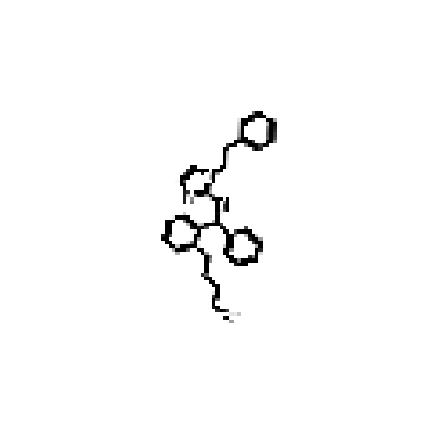 BrCCCCc1ccccc1C(Bc1nccn1CCc1ccccc1)c1ccccc1